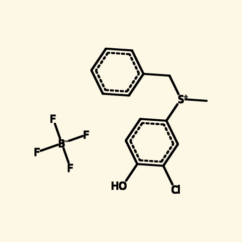 C[S+](Cc1ccccc1)c1ccc(O)c(Cl)c1.F[B-](F)(F)F